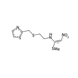 CS/C(=C/[N+](=O)[O-])NCCSCc1nccs1